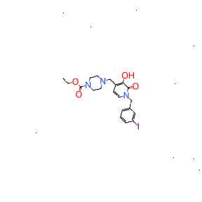 CCOC(=O)N1CCN(Cc2ccn(Cc3cccc(I)c3)c(=O)c2O)CC1